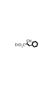 CCOC(=O)C(C)=Cc1ccccc1